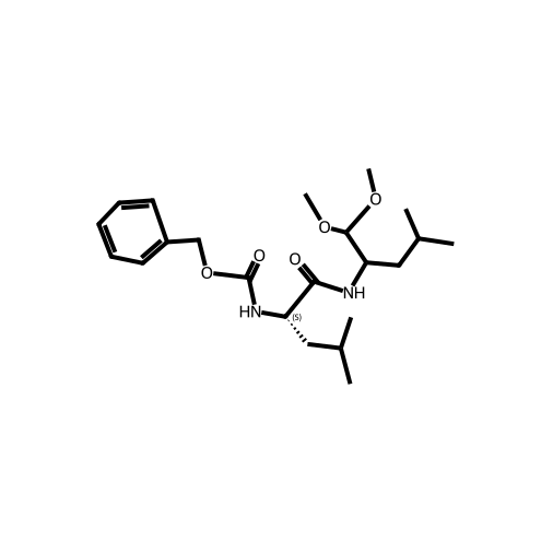 COC(OC)C(CC(C)C)NC(=O)[C@H](CC(C)C)NC(=O)OCc1ccccc1